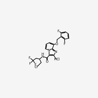 Cc1nc2c(OCc3c(F)cccc3F)cccn2c1C(=O)NC(CCl)CC(F)(F)F.Cl